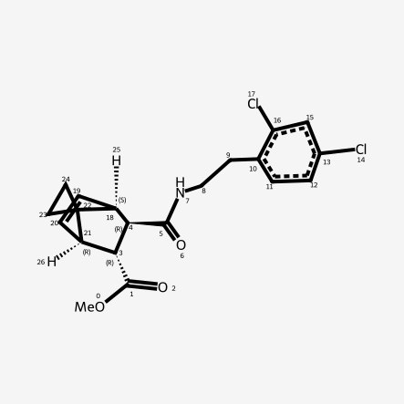 COC(=O)[C@H]1[C@H](C(=O)NCCc2ccc(Cl)cc2Cl)[C@@H]2C=C[C@H]1C21CC1